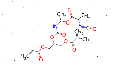 C=CC(=O)OCC(COC(=O)C(=C)C)OC(=O)NC(C)OC(=O)C(C)N=C=O